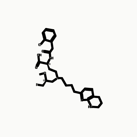 CO[C@H](CF)CN(CCCCc1ccc2c(n1)NCCC2)CC[C@H](NC(=O)Cc1ccccc1Cl)C(=O)O